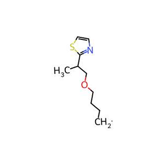 [CH2]CCCOCC(C)c1nccs1